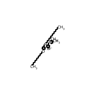 CCCCCCCCCCCCCCCCN(Cc1ccc(OCCCCCCCCCCCCCC)cc1)c1ccccc1C[n+]1ccc(C)c(C)c1.[Br-]